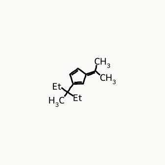 CCC(C)(CC)C1=CC(=C(C)C)C=C1